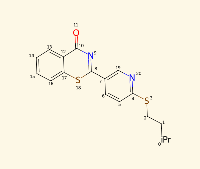 CC(C)CCSc1ccc(-c2nc(=O)c3ccccc3s2)cn1